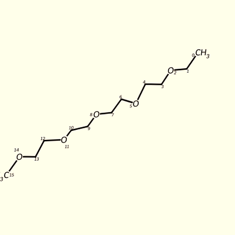 CCOCCOCCOCCOCCOC